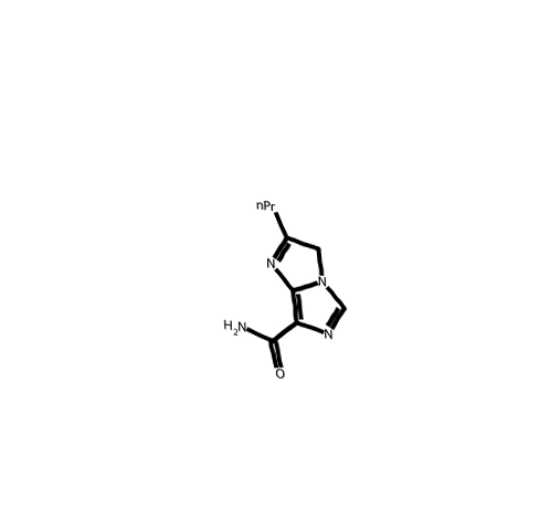 CCCC1=Nc2c(C(N)=O)ncn2C1